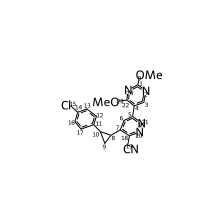 COc1ncc(-c2cc(C3CC3c3ccc(Cl)cc3)c(C#N)nn2)c(OC)n1